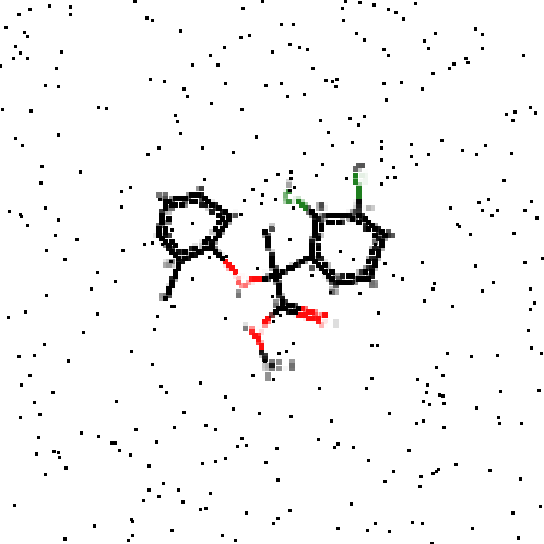 CCCCCCCCOC(=O)C(C)(Oc1ccccc1C)c1cccc(Cl)c1Cl